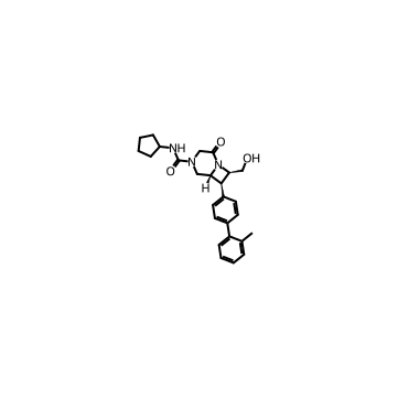 Cc1ccccc1-c1ccc([C@@H]2[C@H](CO)N3C(=O)CN(C(=O)NC4CCCC4)C[C@@H]23)cc1